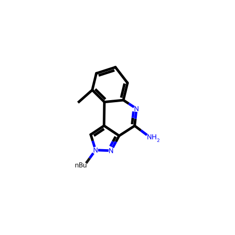 CCCCn1cc2c(n1)c(N)nc1cccc(C)c12